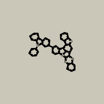 c1ccc(-n2c3ccccc3c3ccc(-c4ccc5c(c4)c4c6c(cc7c8nc9ccccc9nc8n5c74)sc4ccccc46)cc32)cc1